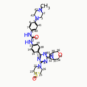 CN1CCN(c2ccc(NC(=O)Nc3ccc(-c4nc(N5CC[S+]([O-])CC5)nc(N5C6CCC5COC6)n4)cc3)cc2)CC1